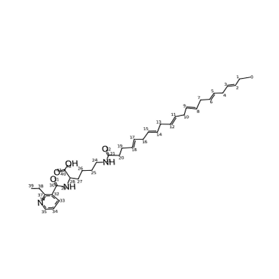 CCC=CCC=CCC=CCC=CCC=CCC=CCCC(=O)NCCCCC(NC(=O)c1cccnc1CC)C(=O)O